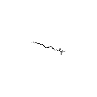 CCCCCCCCC#CCC#CCC#CCCCC(=O)NO